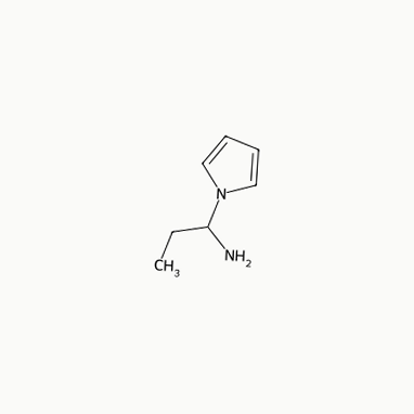 CCC(N)n1cccc1